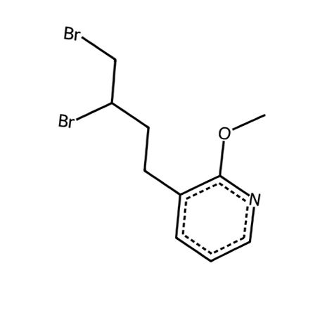 COc1ncccc1CCC(Br)CBr